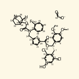 COc1ccc([C@H](Cc2c(Cl)c[n+](O)cc2Cl)OC(=O)c2ccc(CN(C(=O)O[C@H]3CN4CCC3CC4)c3ccccc3F)s2)cc1OC.O=C[O-]